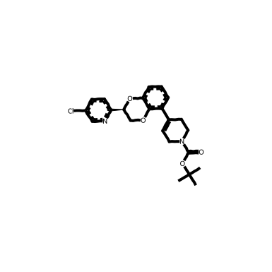 CC(C)(C)OC(=O)N1CC=C(c2cccc3c2OC[C@@H](c2ccc(Cl)cn2)O3)CC1